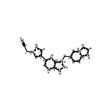 N#CCn1cc(-c2cnc3nnn(Cc4ccc5nccn5c4)c3n2)cn1